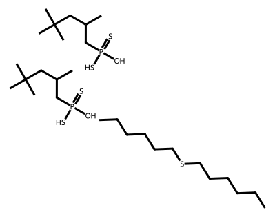 CC(CC(C)(C)C)CP(O)(=S)S.CC(CC(C)(C)C)CP(O)(=S)S.CCCCCCSCCCCCC